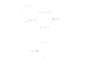 NC(CC1CC(=O)Nc2ccccc21)C(=O)O